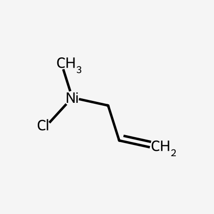 C=C[CH2][Ni]([CH3])[Cl]